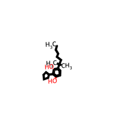 CCCCCCC(C)(C)c1ccc(O)c(C2CCCC2)c1O